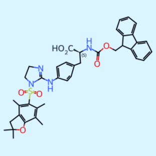 Cc1c(C)c(S(=O)(=O)N2CCN=C2Nc2ccc(C[C@H](NC(=O)OCC3c4ccccc4-c4ccccc43)C(=O)O)cc2)c(C)c2c1OC(C)(C)C2